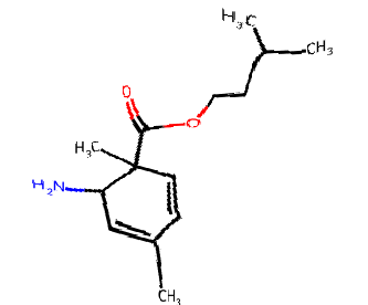 CC1=CC(N)C(C)(C(=O)OCCC(C)C)C=C1